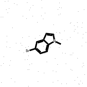 Cn1[c]cc2cc(Br)ccc21